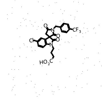 O=C(O)CCCN1C(=O)C2(CC(=O)N(Cc3ccc(C(F)(F)F)cc3)C2=O)c2cc(Cl)ccc21